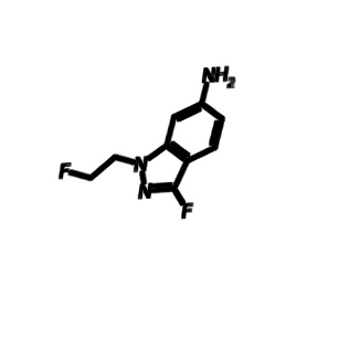 Nc1ccc2c(F)nn(CCF)c2c1